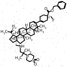 C=C(C)[C@@H]1CC[C@]2(CNCC(C)(C)N3CCS(=O)(=O)CC3)CC[C@]3(C)[C@H](CC[C@@H]4[C@@]5(C)CC=C(C6=CC[C@](CF)(C(=O)OCc7ccccc7)CC6)C(C)(C)[C@@H]5CC[C@]43C)[C@@H]12